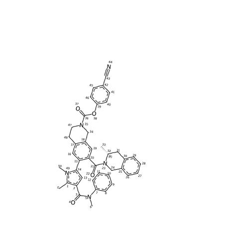 Cc1c(C(=O)N(C)c2ccccc2)cc(-c2cc3c(cc2C(=O)N2Cc4ccccc4C[C@H]2C)CN(C(=O)Oc2ccc(C#N)cc2)CC3)n1C